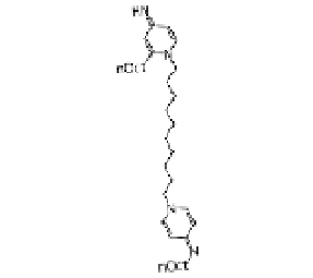 CCCCCCCCN=c1ccn(CCCCCCCCCCn2ccc(=N)cc2CCCCCCCC)cc1